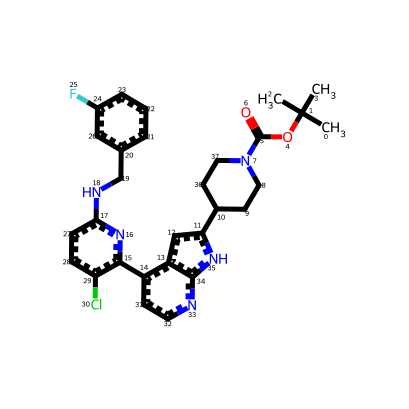 CC(C)(C)OC(=O)N1CCC(c2cc3c(-c4nc(NCc5cccc(F)c5)ccc4Cl)ccnc3[nH]2)CC1